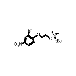 CC(C)(C)[Si](C)(C)OCCOc1ccc([N+](=O)[O-])cc1Br